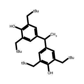 CC(c1cc(CC(C)(C)C)c(O)c(CC(C)(C)C)c1)c1cc(CC(C)(C)C)c(O)c(CC(C)(C)C)c1